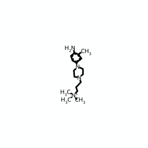 Cc1cc(N2CCN(CCC[N+](C)(C)C)CC2)ccc1N